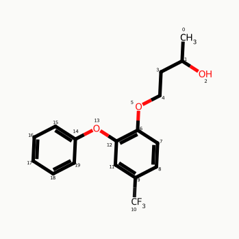 CC(O)CCOc1ccc(C(F)(F)F)cc1Oc1ccccc1